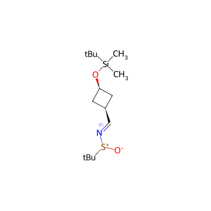 CC(C)(C)[S+]([O-])/N=C/[C@H]1C[C@@H](O[Si](C)(C)C(C)(C)C)C1